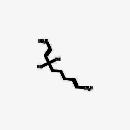 O=C(O)C=CCCCC(O)(O)C=CC(=O)O